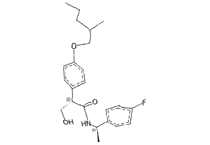 CCCC(C)COc1ccc([C@@H](CO)C(=O)N[C@H](C)c2ccc(F)cc2)cc1